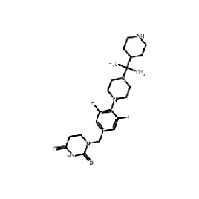 CC(C)(C1CCNCC1)N1CCN(c2c(F)cc(CN3CCC(=O)NC3=O)cc2F)CC1